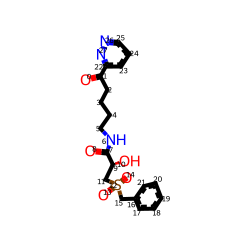 O=C(CCCCNC(=O)[C@@H](O)CS(=O)(=O)Cc1ccccc1)c1cccnn1